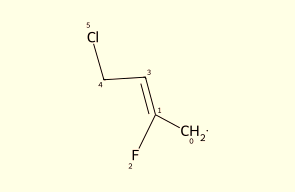 [CH2]C(F)=CCCl